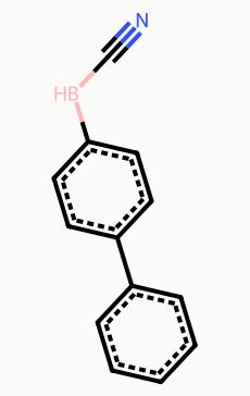 N#CBc1ccc(-c2ccccc2)cc1